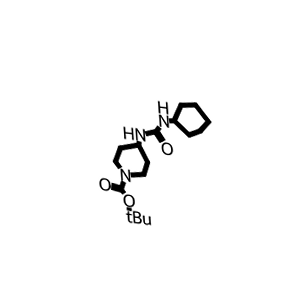 CC(C)(C)OC(=O)N1CCC(NC(=O)NC2CCCCC2)CC1